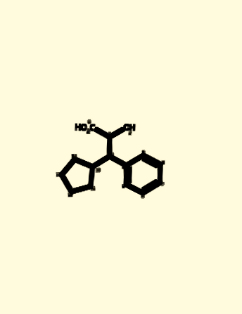 O=C(O)C(O)C(c1ccccc1)C1CCCC1